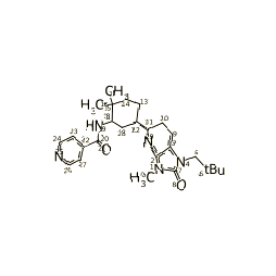 Cn1c2c(n(CC(C)(C)C)c1=O)=CCC(C1CCC(C)(C)C(NC(=O)c3ccncc3)C1)N=2